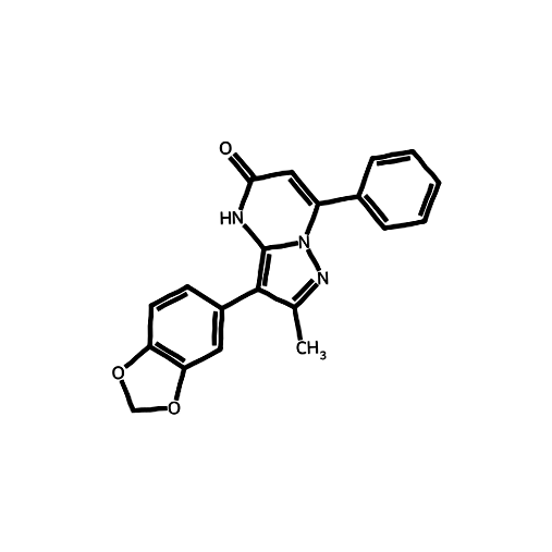 Cc1nn2c(-c3ccccc3)cc(=O)[nH]c2c1-c1ccc2c(c1)OCO2